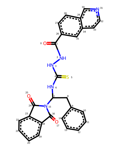 O=C(NNC(=S)NC(Cc1ccccc1)N1C(=O)c2ccccc2C1=O)c1ccc2cnccc2c1